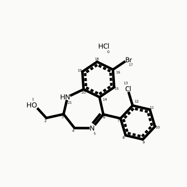 Cl.OCC1CN=C(c2ccccc2Cl)c2cc(Br)ccc2N1